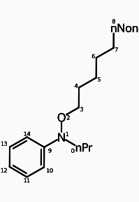 [CH2]CCN(OCCCCCCCCCCCCCC)c1ccccc1